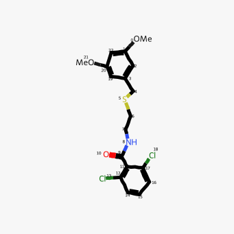 COc1cc(CSCCNC(=O)c2c(Cl)cccc2Cl)cc(OC)c1